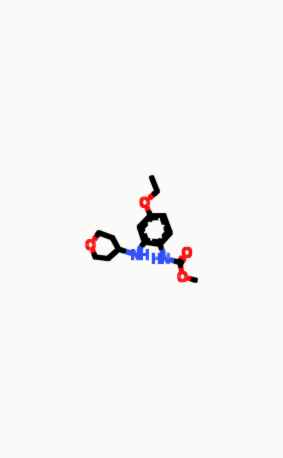 CCOc1ccc(NC(=O)OC)c(NC2CCOCC2)c1